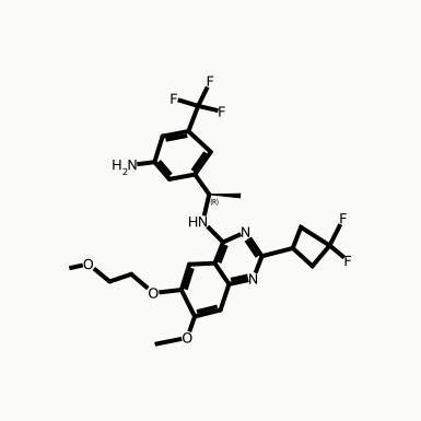 COCCOc1cc2c(N[C@H](C)c3cc(N)cc(C(F)(F)F)c3)nc(C3CC(F)(F)C3)nc2cc1OC